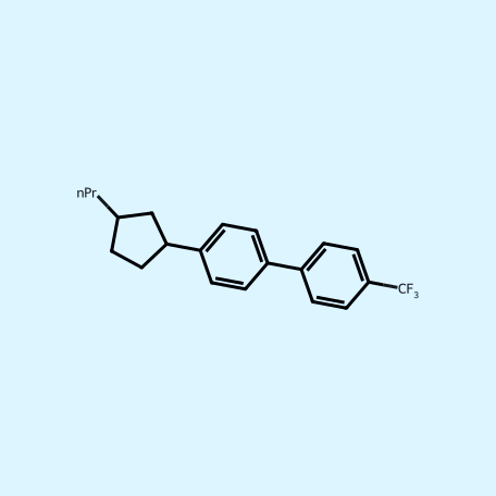 CCCC1CCC(c2ccc(-c3ccc(C(F)(F)F)cc3)cc2)C1